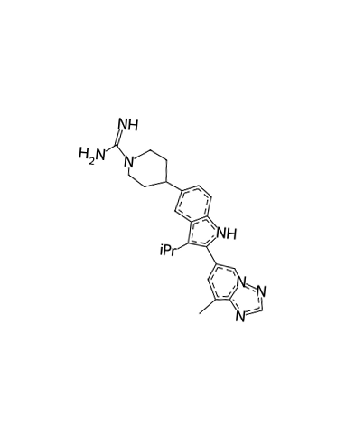 Cc1cc(-c2[nH]c3ccc(C4CCN(C(=N)N)CC4)cc3c2C(C)C)cn2ncnc12